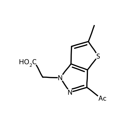 CC(=O)c1nn(CC(=O)O)c2cc(C)sc12